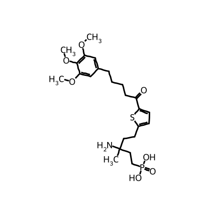 COc1cc(CCCCC(=O)c2ccc(CCC(C)(N)CCP(=O)(O)O)s2)cc(OC)c1OC